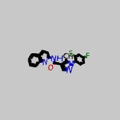 Cc1c(C(=O)Nc2ccc3ccccc3n2)cnn1-c1ccc(F)cc1F